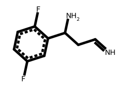 N=CCC(N)c1cc(F)ccc1F